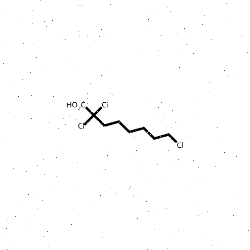 O=C(O)C(Cl)(Cl)CCCCCCCl